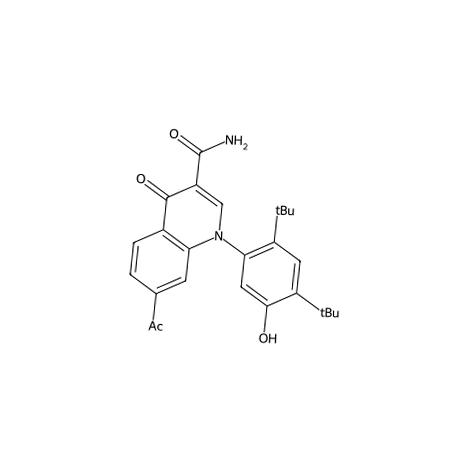 CC(=O)c1ccc2c(=O)c(C(N)=O)cn(-c3cc(O)c(C(C)(C)C)cc3C(C)(C)C)c2c1